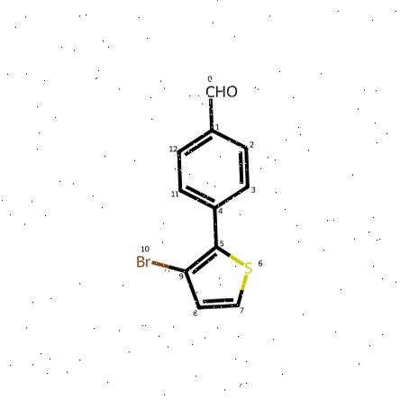 O=Cc1ccc(-c2sccc2Br)cc1